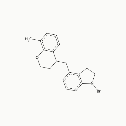 Cc1cccc2c1OCCC2Cc1cccc2c1CCN2Br